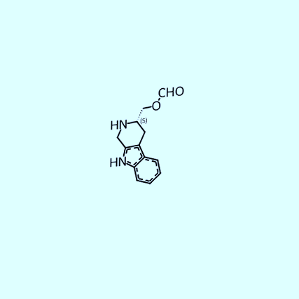 O=COC[C@@H]1Cc2c([nH]c3ccccc23)CN1